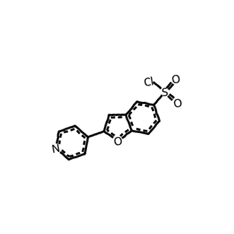 O=S(=O)(Cl)c1ccc2oc(-c3ccncc3)cc2c1